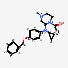 CCC(=O)N1CCN(C)CC1N(c1ccc(OCc2ccccc2)cc1)C1CC1